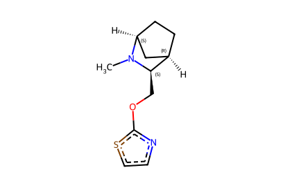 CN1[C@H]2CC[C@H](C2)[C@H]1COc1nccs1